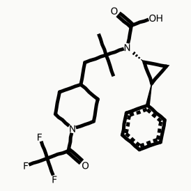 CC(C)(CC1CCN(C(=O)C(F)(F)F)CC1)N(C(=O)O)[C@@H]1C[C@H]1c1ccccc1